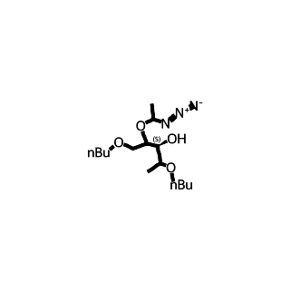 CCCCOCC(OC(C)N=[N+]=[N-])[C@@H](O)C(C)OCCCC